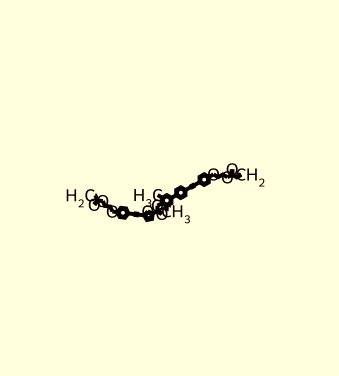 C=CC(=O)OCCOc1ccc(C#Cc2ccc(-c3cc(C)c(OC(=O)c4ccc(C#Cc5ccc(OCCOC(=O)C=C)cc5)o4)c(C)c3)cc2)cc1